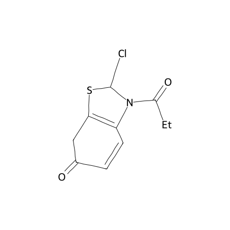 CCC(=O)N1C2=C(CC(=O)C=C2)SC1Cl